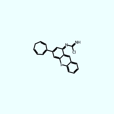 N=C(Cl)/N=c1/cc(C2=CC=CCC=C2)cc2sc3ccccc3cc1-2